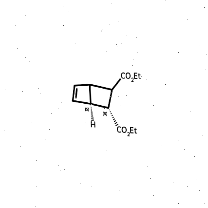 CCOC(=O)C1C2C=C[C@@H]2[C@H]1C(=O)OCC